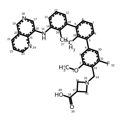 COc1cc(-c2cccc(-c3cccc(Nc4cncc5cccnc45)c3C)c2C)cc(F)c1CN1CC(C(=O)O)C1